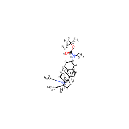 C[C@H]1[C@H]2CC[C@H]3[C@@H]4CC=C5C[C@@H](N(C)C(=O)OC(C)(C)C)CC[C@]5(C)[C@H]4CCC23CN1C